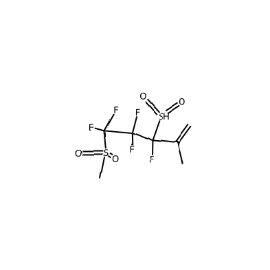 C=C(C)C(F)([SH](=O)=O)C(F)(F)C(F)(F)S(C)(=O)=O